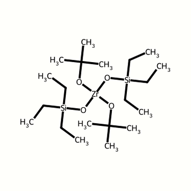 CC[Si](CC)(CC)[O][Zr]([O]C(C)(C)C)([O]C(C)(C)C)[O][Si](CC)(CC)CC